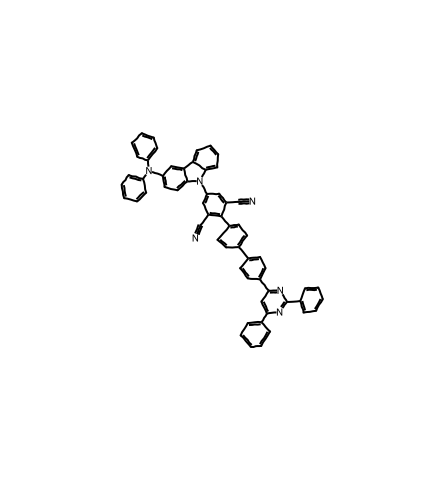 N#Cc1cc(-n2c3ccccc3c3cc(N(c4ccccc4)c4ccccc4)ccc32)cc(C#N)c1-c1ccc(-c2ccc(-c3cc(-c4ccccc4)nc(-c4ccccc4)n3)cc2)cc1